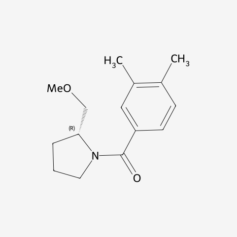 COC[C@H]1CCCN1C(=O)c1ccc(C)c(C)c1